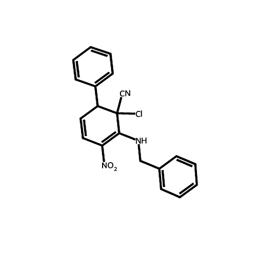 N#CC1(Cl)C(NCc2ccccc2)=C([N+](=O)[O-])C=CC1c1ccccc1